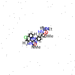 CCNC(=O)[C@H](NC(=O)C(C)(COC)c1ccc2nc([C@@H](NC(=O)NC)[C@H](c3ccccc3Cl)C3(C)CC3)[nH]c2c1)C(C)(C)C